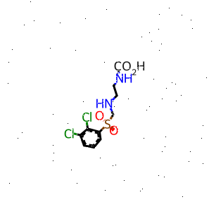 O=C(O)NCCNCS(=O)(=O)c1cccc(Cl)c1Cl